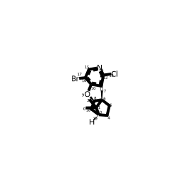 CC1(C)[C@H]2CC[C@@]1(C)[C@H](Oc1cc(Cl)ncc1Br)C2